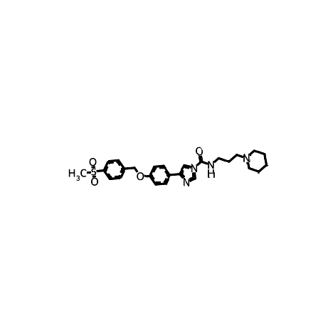 CS(=O)(=O)c1ccc(COc2ccc(-c3cn(C(=O)NCCCN4CCCCC4)cn3)cc2)cc1